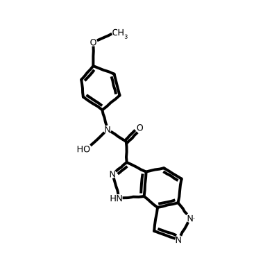 COc1ccc(N(O)C(=O)c2n[nH]c3c4c(ccc23)[N]N=C4)cc1